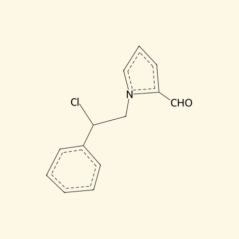 O=Cc1cccn1CC(Cl)c1ccccc1